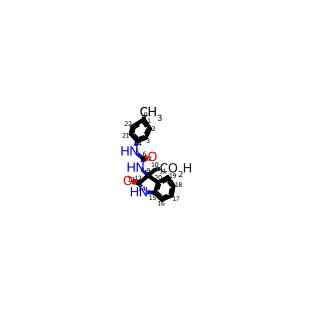 Cc1ccc(NC(=O)NC2(CC(=O)O)C(=O)Nc3ccccc32)cc1